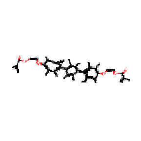 C=C(C)C(=O)O/C=C\Oc1c(C)c(C)c(-c2c(C)c(C)c(-c3c(C)c(C)c(O/C=C\OC(=O)C(=C)C)c(C)c3C)c(C)c2C)c(C)c1C